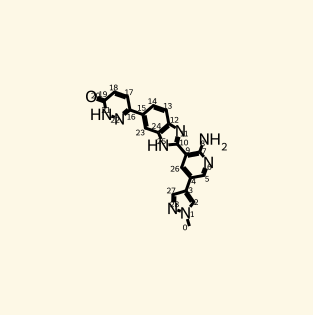 Cn1cc(-c2cnc(N)c(-c3nc4ccc(-c5ccc(=O)[nH]n5)cc4[nH]3)c2)cn1